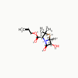 C=CCOC(=O)[C@@H]1N2C(=O)[C@H](O)[C@H]2SC1(C)C